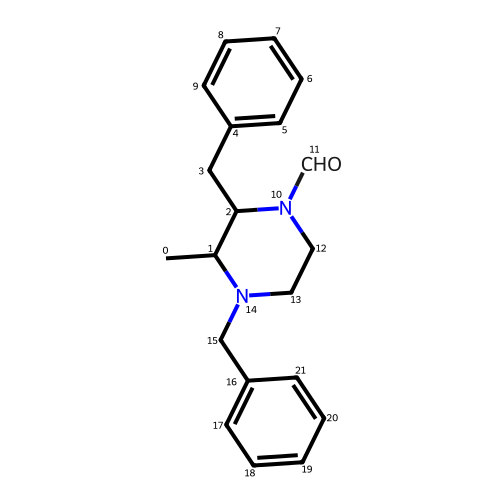 CC1C(Cc2ccccc2)N(C=O)CCN1Cc1ccccc1